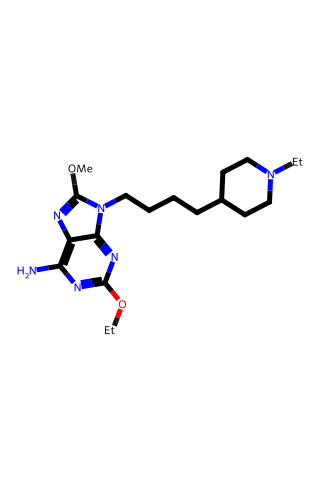 CCOc1nc(N)c2nc(OC)n(CCCCC3CCN(CC)CC3)c2n1